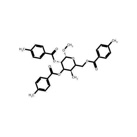 CO[C@@H]1OC(COC(=O)c2ccc(C)cc2)[C@@H](C)C(OC(=O)c2ccc(C)cc2)[C@@H]1OC(=O)c1ccc(C)cc1